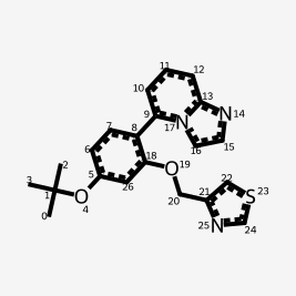 CC(C)(C)Oc1ccc(-c2cccc3nccn23)c(OCc2cscn2)c1